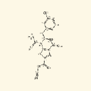 N#COC(=O)c1cc2c(s1)N(C(N)=O)C(Cc1cccc(Cl)c1)NC2=O